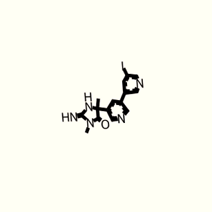 CN1C(=N)NC(C)(c2cncc(-c3cncc(I)c3)c2)C1=O